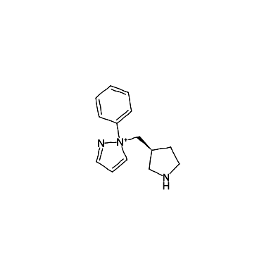 C1=C[N+](C[C@H]2CCNC2)(c2ccccc2)N=C1